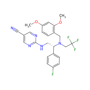 COc1ccc(CN(CC(F)(F)F)[C@@H](CNc2ncc(C#N)cn2)c2ccc(F)cc2)c(OC)c1